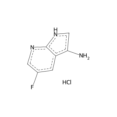 Cl.Nc1c[nH]c2ncc(F)cc12